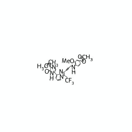 COc1cc(S(C)(=O)=O)ccc1NCC#Cc1nc2c(-c3cnc(N(C)C)c(=O)[nH]3)cccn2c1CC(F)(F)F